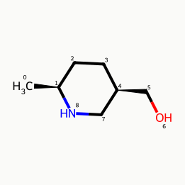 C[C@H]1CC[C@@H](CO)CN1